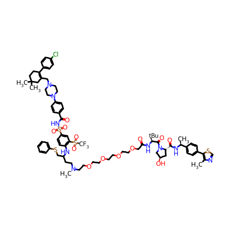 Cc1ncsc1-c1ccc([C@H](C)NC(=O)[C@@H]2C[C@@H](O)CN2C(=O)[C@@H](NC(=O)COCCOCCOCCOCCN(C)CCC(CSc2ccccc2)Nc2ccc(S(=O)(=O)NC(=O)c3ccc(N4CCN(CC5=C(c6ccc(Cl)cc6)CCC(C)(C)C5)CC4)cc3)cc2S(=O)(=O)C(F)(F)F)C(C)(C)C)cc1